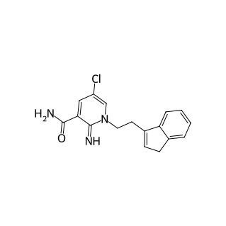 N=c1c(C(N)=O)cc(Cl)cn1CCC1=CCc2ccccc21